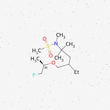 CCC(CO[C@H](C)CF)CC(C)(C)N(C)S(C)(=O)=O